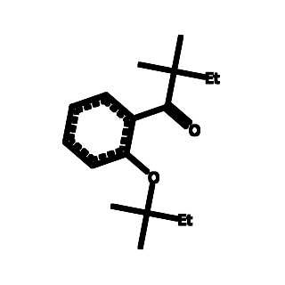 CCC(C)(C)Oc1ccccc1C(=O)C(C)(C)CC